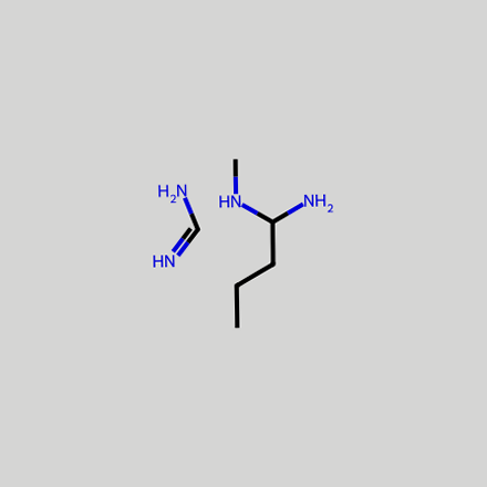 CCCC(N)NC.N=CN